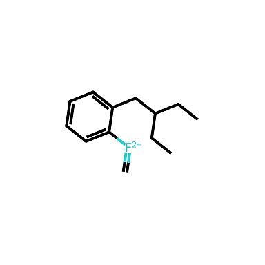 C=[F+2]c1ccccc1CC(CC)CC